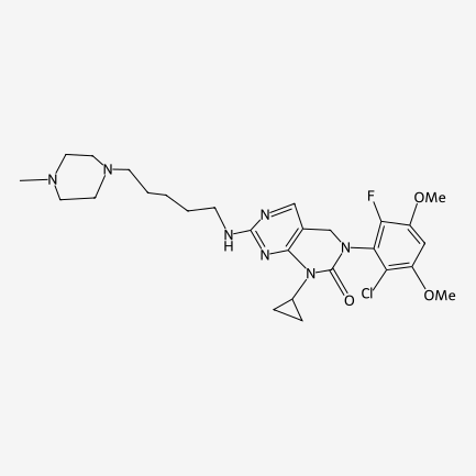 COc1cc(OC)c(Cl)c(N2Cc3cnc(NCCCCCN4CCN(C)CC4)nc3N(C3CC3)C2=O)c1F